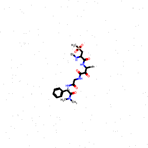 CCCC(NC(=O)C(CS(C)(=O)=O)NCC)C(=O)C(=O)NCC(=O)N[C@H](C(=O)N(C)C)c1ccccc1